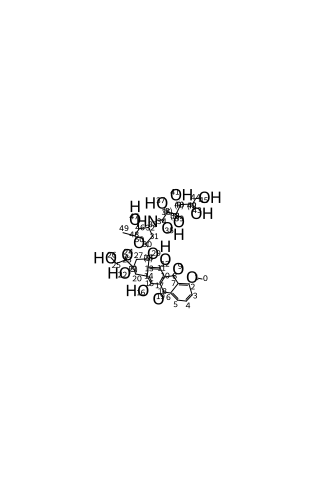 COc1cccc2c1C(=O)c1c(O)c3c(c(O)c1C2=O)C[C@@](O)(C(=O)CO)C[C@@H]3OC1CC(NC(=O)[C@H](O)[C@@H](O)[C@H](O)[C@H](O)CO)C(O)C(C)O1